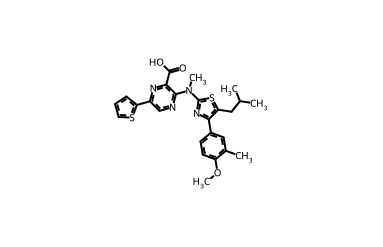 COc1ccc(-c2nc(N(C)c3ncc(-c4cccs4)nc3C(=O)O)sc2CC(C)C)cc1C